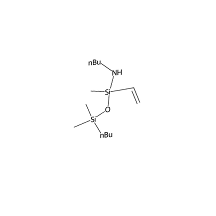 C=C[Si](C)(NCCCC)O[Si](C)(C)CCCC